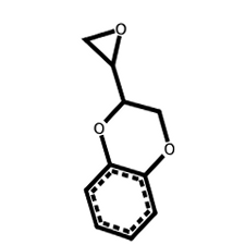 c1ccc2c(c1)OCC(C1CO1)O2